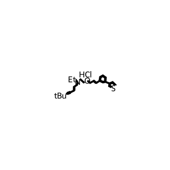 CCN(CC=CC#CC(C)(C)C)CCOCC=Cc1cccc(-c2ccsc2)c1.Cl